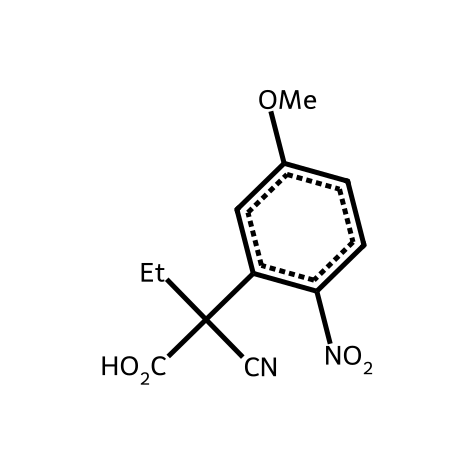 CCC(C#N)(C(=O)O)c1cc(OC)ccc1[N+](=O)[O-]